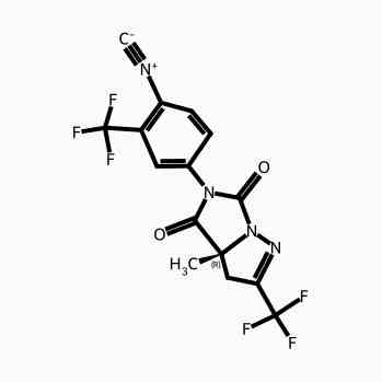 [C-]#[N+]c1ccc(N2C(=O)N3N=C(C(F)(F)F)C[C@]3(C)C2=O)cc1C(F)(F)F